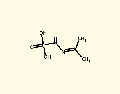 CC(C)=NNP(=O)(O)O